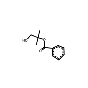 CC(C)(CO)OC(=O)c1ccccc1